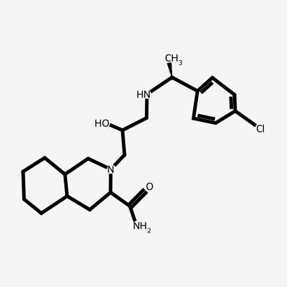 C[C@H](NCC(O)CN1CC2CCCCC2CC1C(N)=O)c1ccc(Cl)cc1